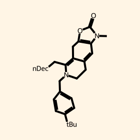 CCCCCCCCCCCC1=C2Cc3oc(=O)n(C)c3C=C2CCN1Cc1ccc(C(C)(C)C)cc1